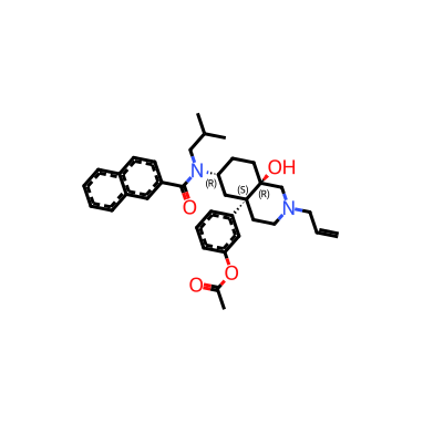 C=CCN1CC[C@@]2(c3cccc(OC(C)=O)c3)C[C@H](N(CC(C)C)C(=O)c3ccc4ccccc4c3)CC[C@]2(O)C1